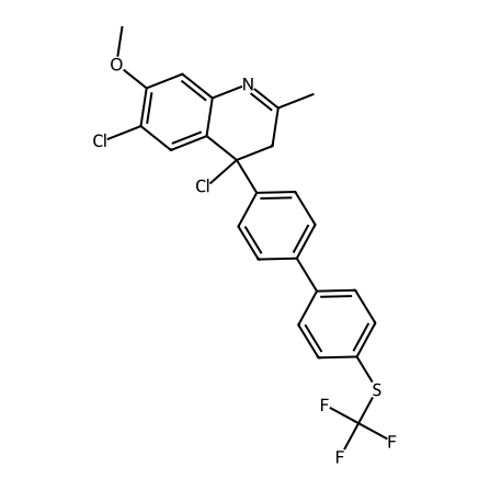 COc1cc2c(cc1Cl)C(Cl)(c1ccc(-c3ccc(SC(F)(F)F)cc3)cc1)CC(C)=N2